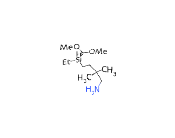 CC[SiH](CCC(C)(C)CN)C(OC)OC